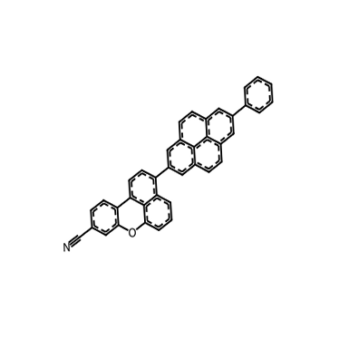 N#Cc1ccc2c(c1)Oc1cccc3c(-c4cc5ccc6cc(-c7ccccc7)cc7ccc(c4)c5c67)ccc-2c13